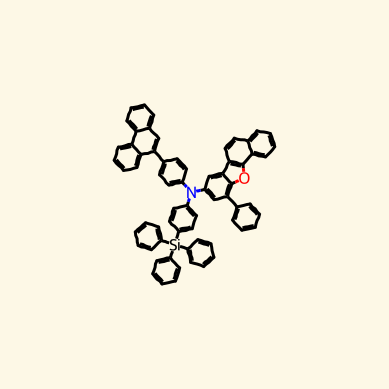 c1ccc(-c2cc(N(c3ccc(-c4cc5ccccc5c5ccccc45)cc3)c3ccc([Si](c4ccccc4)(c4ccccc4)c4ccccc4)cc3)cc3c2oc2c4ccccc4ccc32)cc1